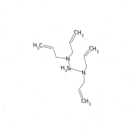 C=CCN(CC=C)[SiH2]N(CC=C)CC=C